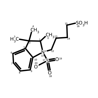 CC1C(C)(C)c2ccccc2[N+]1(CCCCS(=O)(=O)O)S(=O)(=O)[O-]